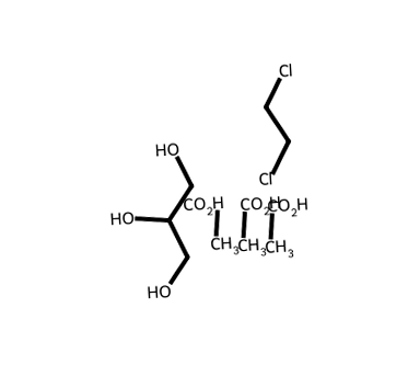 CC(=O)O.CC(=O)O.CC(=O)O.ClCCCl.OCC(O)CO